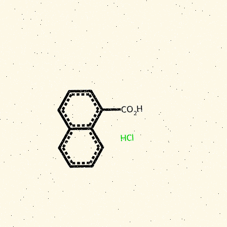 Cl.O=C(O)c1cccc2ccccc12